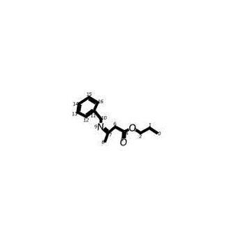 CCCOC(=O)CC(C)=NCc1ccccc1